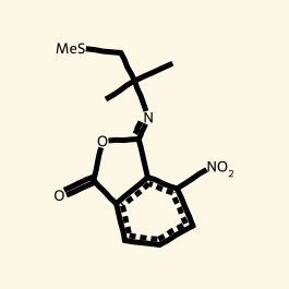 CSCC(C)(C)N=C1OC(=O)c2cccc([N+](=O)[O-])c21